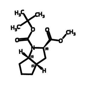 COC(=O)[C@H]1C[C@@H]2CCC[C@@H]2N1C(=O)OC(C)(C)C